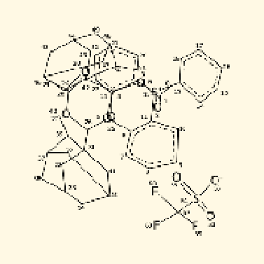 CC(=O)OC(Oc1ccccc1[S+](c1ccccc1)c1ccccc1OC(OC(C)=O)C12CC3CC(CC(C3)C1C)C2)C12CC3CC(CC(C3)C1C)C2.O=S(=O)([O-])C(F)(F)F